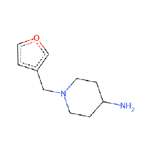 NC1CCN(Cc2ccoc2)CC1